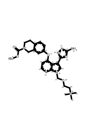 CC(C)(C)OC(=O)N1CCc2ccc(Oc3ccnc4c3c(-c3nnc(N)o3)cn4COCCS(C)(C)C)cc2C1